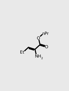 CCC=C(N)C(=O)OCCC